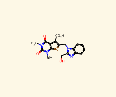 CCCn1c(=O)n(C)c(=O)c2c(C(=O)O)c(Cn3c(CO)nc4ccccc43)sc21